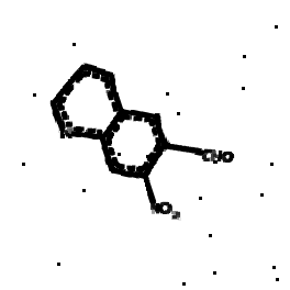 O=Cc1cc2cccnc2cc1[N+](=O)[O-]